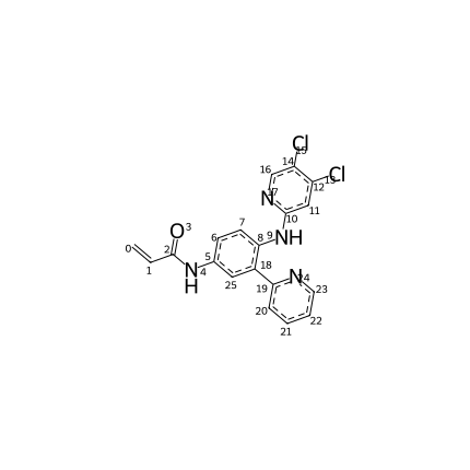 C=CC(=O)Nc1ccc(Nc2cc(Cl)c(Cl)cn2)c(-c2ccccn2)c1